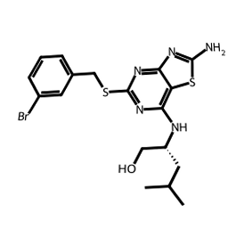 CC(C)C[C@H](CO)Nc1nc(SCc2cccc(Br)c2)nc2nc(N)sc12